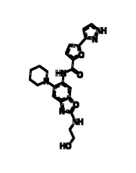 O=C(Nc1cc2oc(NCCO)nc2cc1N1CCCCC1)c1ccc(-c2cc[nH]n2)o1